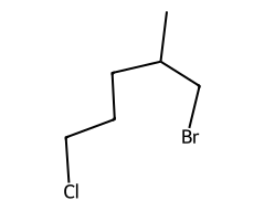 CC(CBr)CCCCl